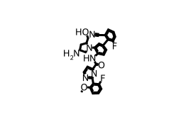 COc1cccc(F)c1-c1nccc(C(=O)Nc2ccc(-c3c(F)cccc3C#N)cc2N2CC(N)CC2CO)n1